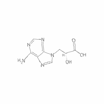 Nc1ncnc2c1ncn2C[C@@H](O)C(=O)O